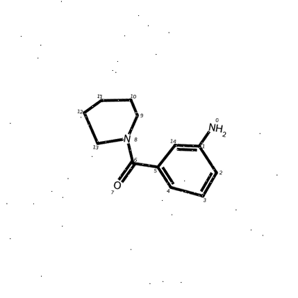 Nc1cccc(C(=O)N2CCCCC2)c1